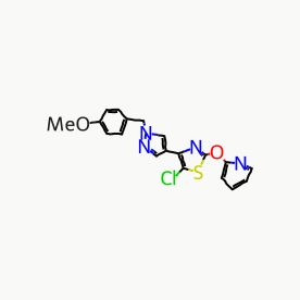 COc1ccc(Cn2cc(-c3nc(Oc4ccccn4)sc3Cl)cn2)cc1